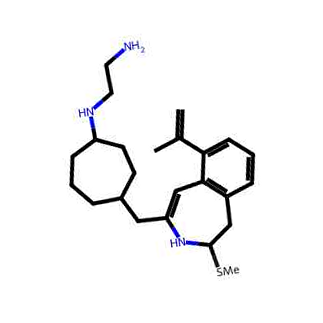 C=C(C)c1cccc2c1C=C(CC1CCCC(NCCN)CC1)NC(SC)C2